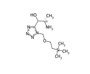 C[C@H](N)C(O)c1nnnn1COCC[Si](C)(C)C